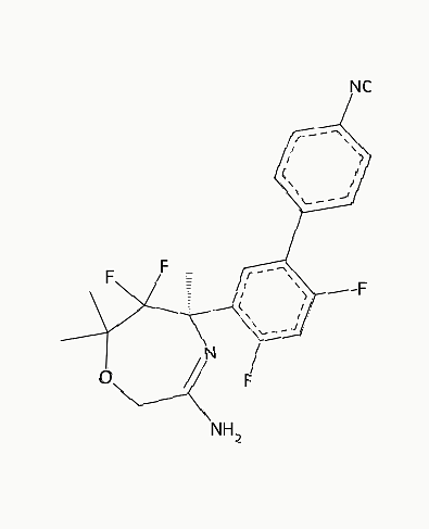 [C-]#[N+]c1ccc(-c2cc([C@@]3(C)N=C(N)COC(C)(C)C3(F)F)c(F)cc2F)cc1